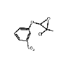 CC1(Cl)OC1Oc1cccc([N+](=O)[O-])c1